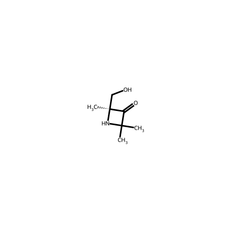 CC1(C)N[C@@](C)(CO)C1=O